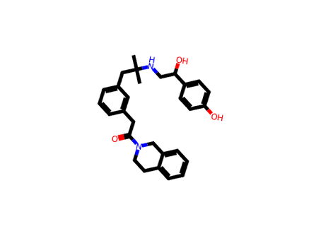 CC(C)(Cc1cccc(CC(=O)N2CCc3ccccc3C2)c1)NCC(O)c1ccc(O)cc1